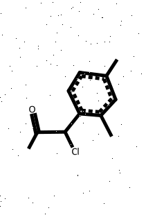 CC(=O)C(Cl)c1ccc(C)cc1C